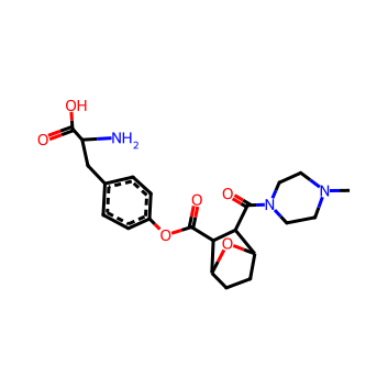 CN1CCN(C(=O)C2C3CCC(O3)C2C(=O)Oc2ccc(CC(N)C(=O)O)cc2)CC1